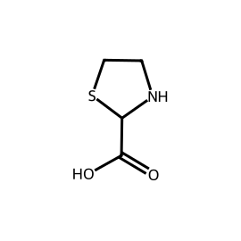 O=C(O)C1NCCS1